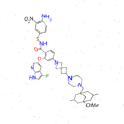 COC12CC(C)CC(CN3CCN(C4CC5(C4)CN(c4ccc(C(=O)NSc6ccc(N)c([N+](=O)[O-])c6)c(Oc6cnc7[nH]cc(F)c7c6)c4)C5)CC3)(CC(C)C1)C2